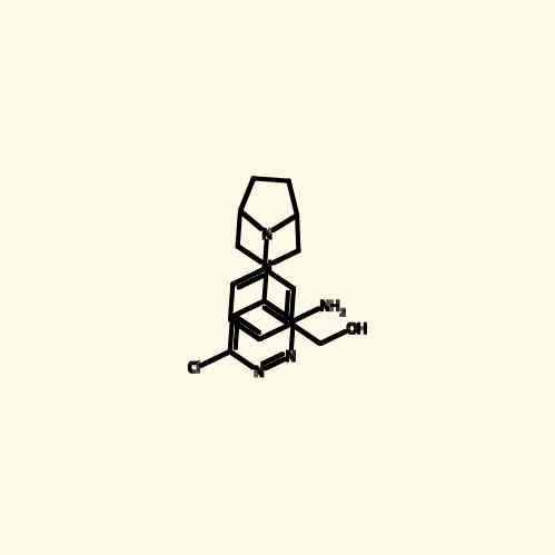 Nc1nnc(Cl)cc1N1CC2CCC(C1)N2c1cccc(CO)c1